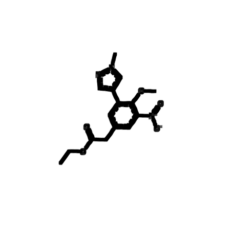 CCOC(=O)Cc1cc(-c2cnn(C)c2)c(OC)c([N+](=O)[O-])c1